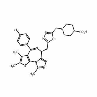 Cc1sc2c(c1C)C(c1ccc(Cl)cc1)=N[C@@H](Cc1nnc(CN3CCC(C(=O)O)CC3)o1)c1nnc(C)n1-2